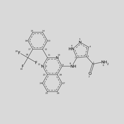 NC(=O)c1cn[nH]c1Nc1nc(-c2ccccc2C(F)(F)F)nc2ccccc12